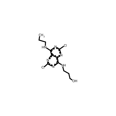 CCCNc1nc(Cl)nc2c(NCCCO)nc(Cl)nc12